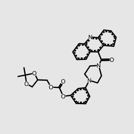 CC1(C)OCC(COC(=O)Oc2cccc(N3CCN(C(=O)c4c5ccccc5nc5ccccc45)CC3)c2)O1